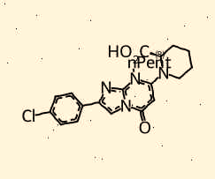 CCCCCn1c(N2CCCC[C@@H]2C(=O)O)cc(=O)n2cc(-c3ccc(Cl)cc3)nc12